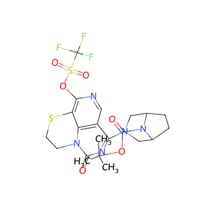 CC(C)(C)OC(=O)N1C2CCC1CN(c1nc(=O)n3c4c(c(OS(=O)(=O)C(F)(F)F)ncc14)SCC3)C2